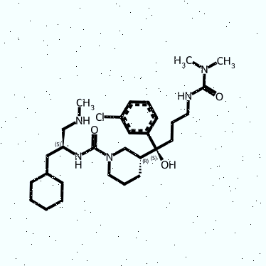 CNC[C@H](CC1CCCCC1)NC(=O)N1CCC[C@@H]([C@@](O)(CCCNC(=O)N(C)C)c2cccc(Cl)c2)C1